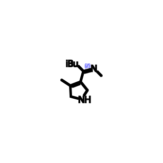 CCC(C)/C(=N/C)C1=C(C)CNC1